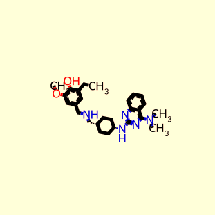 CCc1cc(CNC[C@H]2CC[C@@H](Nc3nc(N(C)C)c4ccccc4n3)CC2)cc(OC)c1O